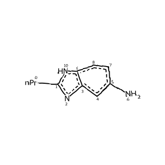 CCCc1nc2cc(N)ccc2[nH]1